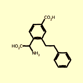 NC(C(=O)O)c1ccc(C(=O)O)cc1CCc1ccccc1